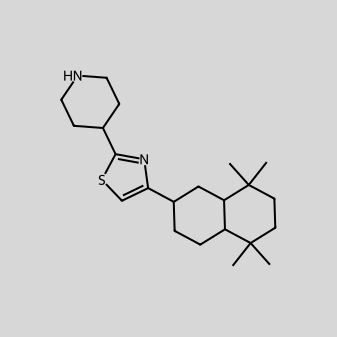 CC1(C)CCC(C)(C)C2CC(c3csc(C4CCNCC4)n3)CCC21